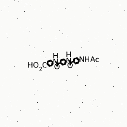 CC(=O)Nc1ccc(C(=O)Nc2ccc(C(=O)Nc3ccc(C(=O)O)cc3)cc2)cc1